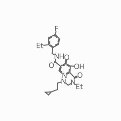 CCc1cc(F)ccc1CNC(=O)c1cn2c(c(O)c1=O)C(=O)N(CC)CN2CCC1CC1